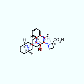 C[C@@H]1C[C@@H]2C[C@H](C1)C[C@@H](N1[C@@H]3CCC[C@H]1C[C@@H](n1c(=O)c(N4CC[C@@H]4C(=O)O)nc4ccccc41)C3)C2